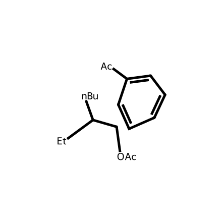 CC(=O)c1ccccc1.CCCCC(CC)COC(C)=O